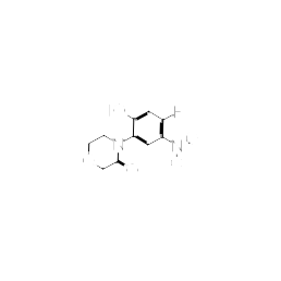 O=C1COCCN1c1cc([N+](=O)[O-])c(F)cc1O